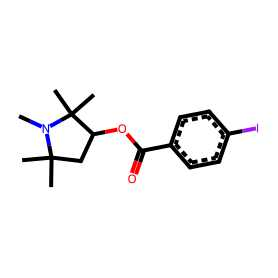 CN1C(C)(C)CC(OC(=O)c2ccc(I)cc2)C1(C)C